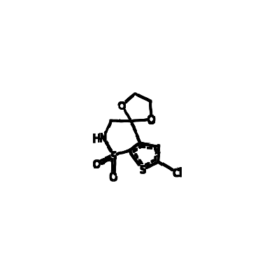 O=S1(=O)NCC2(OCCO2)c2cc(Cl)sc21